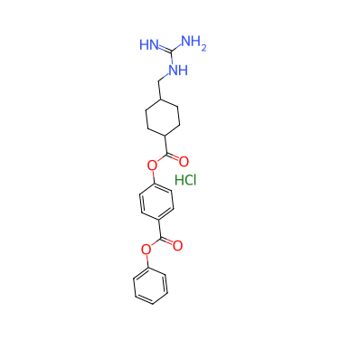 Cl.N=C(N)NCC1CCC(C(=O)Oc2ccc(C(=O)Oc3ccccc3)cc2)CC1